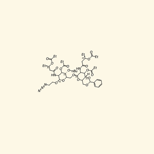 CCCCO[C@@H]1C(CO[C@@H]2OC3COC(c4ccccc4)O[C@H]3C(OC(=O)CC)C2NC(=O)C[C@@H](CC)OC(=O)CC)O[C@@H](OCCN=[N+]=[N-])C(NC(=O)C[C@@H](CC)OC(=O)CC)C1OC(=O)CC